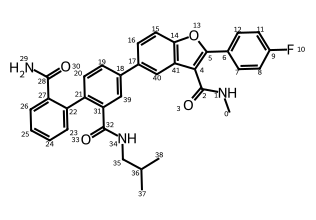 CNC(=O)c1c(-c2ccc(F)cc2)oc2ccc(-c3ccc(-c4ccccc4C(N)=O)c(C(=O)NCC(C)C)c3)cc12